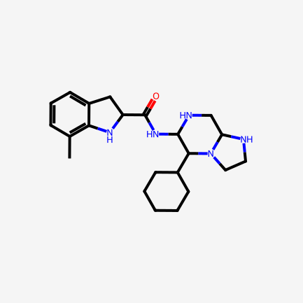 Cc1cccc2c1NC(C(=O)NC1NCC3NCCN3C1C1CCCCC1)C2